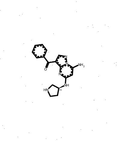 Nc1cc(N[C@H]2CCNC2)nc2c(C(=O)c3ccccc3)cnn12